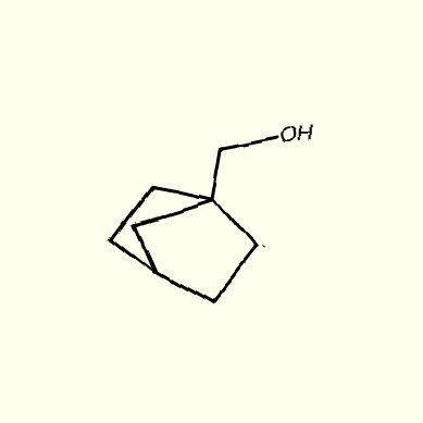 OCC12[CH]CC(CC1)C2